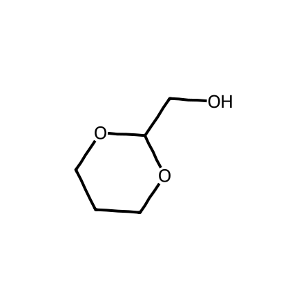 OCC1OCCCO1